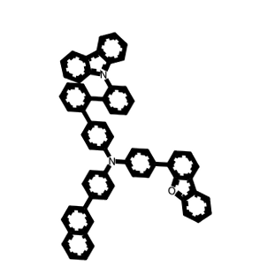 c1ccc(-c2ccccc2-n2c3ccccc3c3ccccc32)c(-c2ccc(N(c3ccc(-c4ccc5ccccc5c4)cc3)c3ccc(-c4cccc5c4oc4ccccc45)cc3)cc2)c1